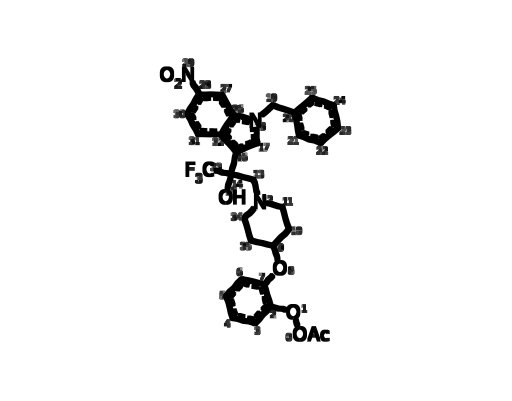 CC(=O)OOc1ccccc1OC1CCN(CC(O)(c2cn(Cc3ccccc3)c3cc([N+](=O)[O-])ccc23)C(F)(F)F)CC1